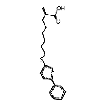 C=C(CCCCCCSc1ccc(-c2ccccc2)cc1)C(=O)O